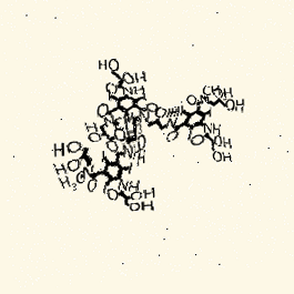 CN(CC(O)CO)C(=O)c1c(I)c(NC(=O)C(O)CO)c(I)c(C(=O)NCC(O)CN(CC(O)CNC(=O)c2c(I)c(NC(=O)C(O)CO)c(I)c(C(=O)N(C)CC(O)CO)c2I)C(=O)c2c(I)c(NC(=O)C(O)CO)c(I)c(C(=O)N(C)CC(O)CO)c2I)c1I